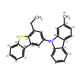 CCc1cc(-n2c3ccccc3c3ccc(C)cc32)cc2c1sc1ccccc12